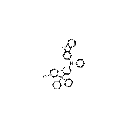 Clc1ccc2c(c1)[Si](c1ccccc1)(c1ccccc1)C1=CC=C(N(c3ccccc3)c3ccc4oc5ccccc5c4c3)CC12